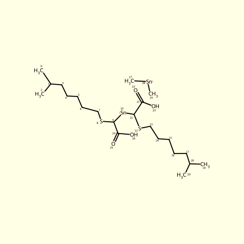 CC(C)CCCCCS[CH]([Sn][CH](SCCCCCC(C)C)C(=O)O)C(=O)O.[CH3][Sn][CH3]